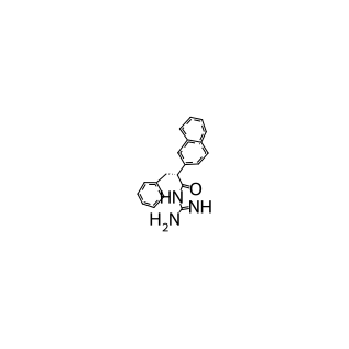 N=C(N)NC(=O)[C@H](Cc1ccccc1)c1ccc2ccccc2c1